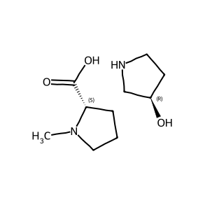 CN1CCC[C@H]1C(=O)O.O[C@@H]1CCNC1